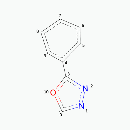 [c]1nnc(-c2ccccc2)o1